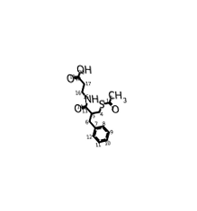 CC(=O)SCC(Cc1ccccc1)C(=O)NCCC(=O)O